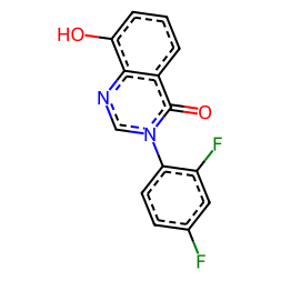 O=c1c2cccc(O)c2ncn1-c1ccc(F)cc1F